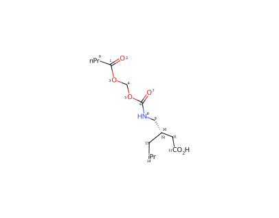 CCCC(=O)OCOC(=O)NC[C@H](CC(=O)O)CC(C)C